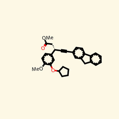 COC(=O)C[C@H](C#Cc1ccc2c(c1)Cc1ccccc1-2)c1ccc(OC)c(OC2CCCC2)c1